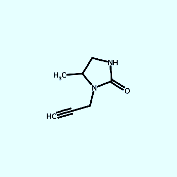 C#CCN1C(=O)NCC1C